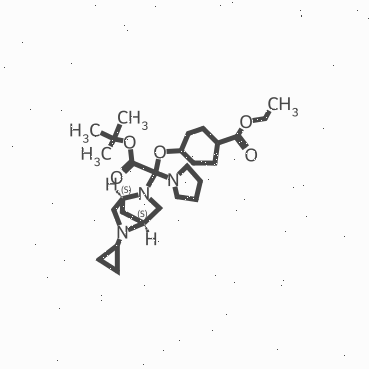 CCOC(=O)C1CCC(OC(C(=O)OC(C)(C)C)(N2CCCC2)N2C[C@@H]3C[C@H]2CN3C2CC2)CC1